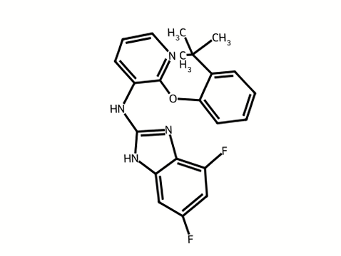 CC(C)(C)c1ccccc1Oc1ncccc1Nc1nc2c(F)cc(F)cc2[nH]1